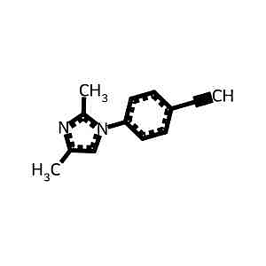 C#Cc1ccc(-n2cc(C)nc2C)cc1